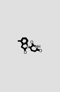 Cc1cccc2c1CC(=O)N2C1CCC(=O)NC1=O